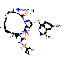 COc1ccc2c(O[C@@H]3C[C@H]4C(=O)N[C@]5(C(=O)NS(=O)(=O)C6(CF)CC6)C[C@H]5/C=C\[C@H](C)CCC[C@@H](C)[C@H](NC(=O)O)C(=O)N4C3)ncc(OC)c2c1